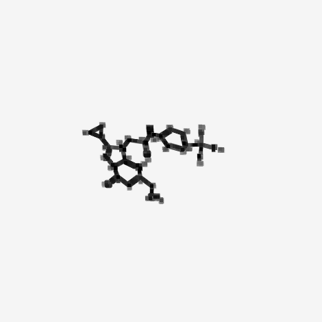 CCc1cc(=O)n2nc(C3CC3)n(CC(=O)Nc3ccc(C(F)(F)F)cc3)c2n1